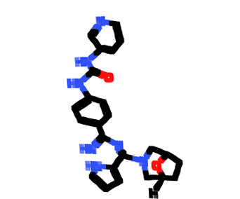 N=C(/N=C(\c1ccc[nH]1)N1CC2CC[C@H](C1)O2)c1ccc(NC(=O)Nc2cccnc2)cc1